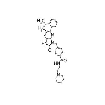 CC(C)c1ccccc1-c1ncc2[nH]c(=O)n(Cc3ccc(C(=O)NCCN4CCCCC4)cc3)c2n1